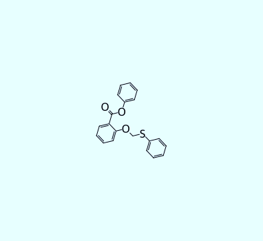 O=C(Oc1ccccc1)c1ccccc1OCSc1ccccc1